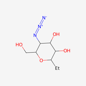 CCC1OC(CO)C(N=[N+]=[N-])C(O)C1O